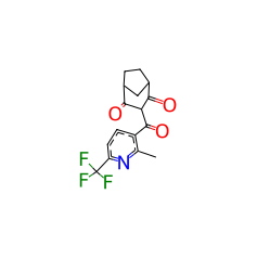 Cc1nc(C(F)(F)F)ccc1C(=O)C1C(=O)C2CCC(C2)C1=O